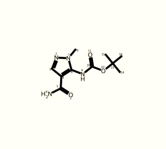 Cn1ncc(C(N)=O)c1NC(=O)OC(C)(C)C